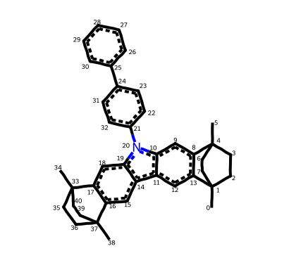 CC12CCC(C)(CC1)c1cc3c(cc12)c1cc2c(cc1n3-c1ccc(-c3ccccc3)cc1)C1(C)CCC2(C)CC1